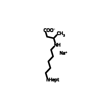 CCCCCCCCCCCCNC(C)CC(=O)[O-].[Na+]